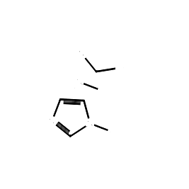 CCCN.Cn1ccnc1.NCC(=O)O